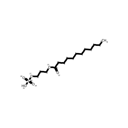 CCCCCCCCCCCC(=O)OCCCOS(=O)(=O)O